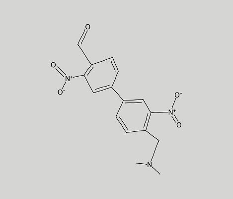 CN(C)Cc1ccc(-c2ccc(C=O)c([N+](=O)[O-])c2)cc1[N+](=O)[O-]